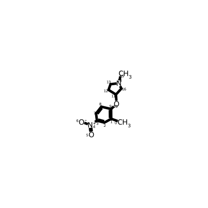 Cc1cc([N+](=O)[O-])ccc1OC1CCN(C)C1